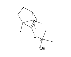 CC12CCC(C=C1O[Si](C)(C)C(C)(C)C)C2(C)C